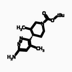 Cc1cc(N)nnc1[C@H]1CCN(C(=O)OC(C)(C)C)CC1C